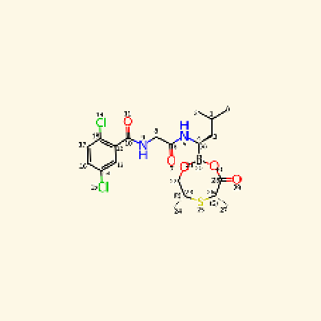 CC(C)C[C@H](NC(=O)CNC(=O)c1cc(Cl)ccc1Cl)B1OC[C@@H](C)S[C@@H](C)C(=O)O1